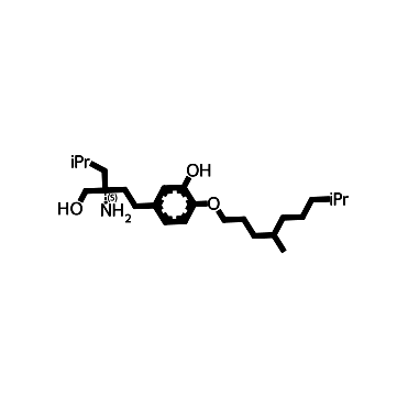 CC(C)CCCC(C)CCCOc1ccc(CC[C@@](N)(CO)CC(C)C)cc1O